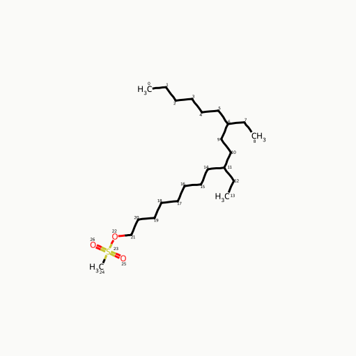 CCCCCCC(CC)CCC(CC)CCCCCCCCOS(C)(=O)=O